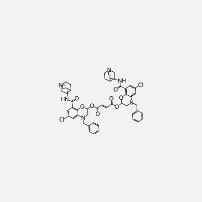 O=C(/C=C/C(=O)OC1CN(Cc2ccccc2)c2cc(Cl)cc(C(=O)NC3CN4CCC3CC4)c2O1)OC1CN(Cc2ccccc2)c2cc(Cl)cc(C(=O)NC3CN4CCC3CC4)c2O1